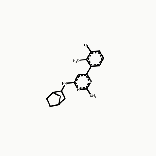 Cc1c(Cl)cccc1-c1cc(NC2CC3CCC2C3)nc(N)n1